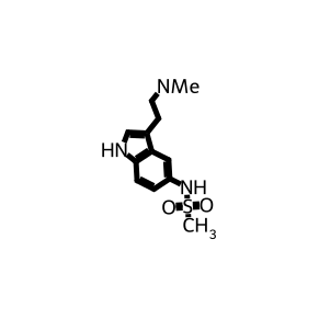 CNCCc1c[nH]c2ccc(NS(C)(=O)=O)cc12